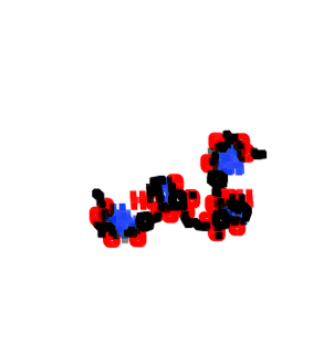 C=CCOC(=O)N[C@H](C(=O)N[C@@H](C)C(=O)Nc1ccc(COC(=O)N2c3cc(OCCCCCOc4cc5c(cc4OC)C(=O)N4CCC[C@H]4C(O)N5C(=O)OCc4ccc(NC(=O)[C@H](C)NC(=O)[C@@H](NC(=O)OCC=C)C(C)C)cc4)c(OC)cc3C(=O)N3CCC[C@H]3C2O)cc1)C(C)C